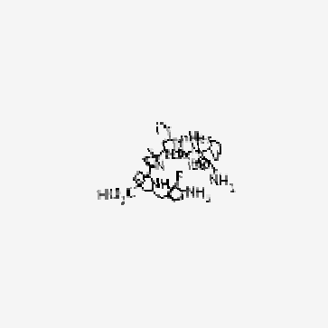 CCCCCCN(C(=O)[C@@H](NC(=O)[C@@]1(C)CCCN1C(=O)CN)[C@@H](C)CC)[C@H](C[C@@H](OC(C)=O)c1nc(C(=O)N[C@@H](Cc2ccc(N)c(F)c2)CC(C)(C)C(=O)O)cs1)C(C)C